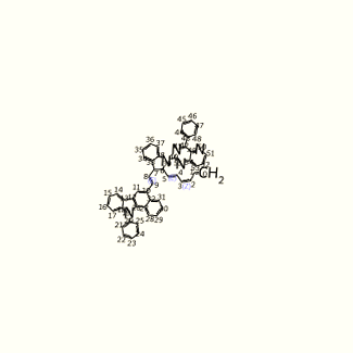 C=C/C=C\C=C\C1C(/C=C/c2cc3c4ccccc4n(-c4ccccc4)c3c3ccccc23)c2ccccc2N1c1nc(-c2ccccc2)c2ncccc2n1